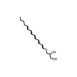 CCCC/C=C/C=C/C=C/C=C/C=C/OCC(O)CO